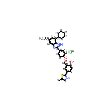 Cc1cnc(-c2ccc(Br)c(COc3ccc(-c4nc5cc(C(=O)O)cc(C6CCCCC6)c5[nH]4)cc3)c2)s1.Cl